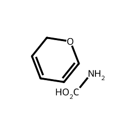 C1=CCOC=C1.NC(=O)O